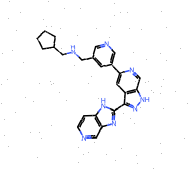 c1cc2[nH]c(-c3n[nH]c4cnc(-c5cncc(CNCC6CCCC6)c5)cc34)nc2cn1